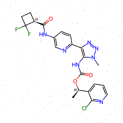 C[C@@H](OC(=O)Nc1c(-c2ccc(NC(=O)[C@@H]3CCC3(F)F)cn2)nnn1C)c1cccnc1Cl